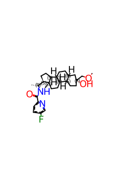 COC[C@@]1(O)CC[C@H]2[C@H](CC[C@@H]3[C@@H]2CC[C@]2(C)[C@@H]([C@@H](C)NC(=O)c4ccc(F)cn4)CC[C@@H]32)C1